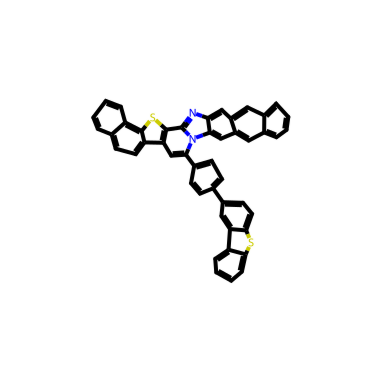 c1ccc2cc3cc4c(cc3cc2c1)nc1c2sc3c5ccccc5ccc3c2cc(-c2ccc(-c3ccc5sc6ccccc6c5c3)cc2)n41